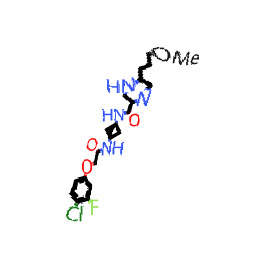 COCCCC1C=NC(C(=O)NC23CC(NC(=O)COc4ccc(Cl)c(F)c4)(C2)C3)CN1